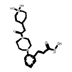 O=C(C=Cc1ccccc1N1CCN(C(=O)CC2CCS(O)(O)CC2)CC1)NO